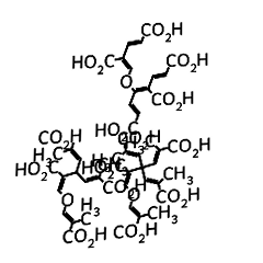 CC(=COC=C(C(=O)O)C(C=C(C)C(=O)O)(C=C(C)C(=O)O)C=C(C)C(=O)O)C(=O)O.CC(=COC=C(C(=O)O)C(C=C(C)C(=O)O)C=C(C)C(=O)O)C(=O)O.O=C(O)C=CC(=COC(C=CC(=O)O)=C(C=CC(=O)O)C(=O)O)C(=O)O